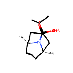 CC(C)C1(O)C[C@H]2CC[C@@H](C1)N2C(=O)O